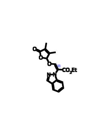 CCOC(=O)/C(=C/OC1OC(=O)C(C)=C1C)n1ncc2ccccc21